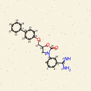 N=C(N)c1cccc(N2CC(COc3ccc(-c4ccccc4)cc3)OC2=O)c1